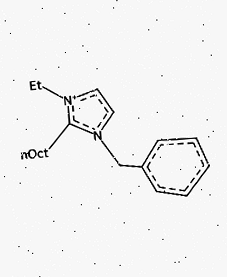 CCCCCCCCc1n(Cc2ccccc2)cc[n+]1CC